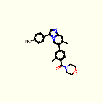 Cc1cc(-c2cn3c(-c4ccc(C#N)cc4)cnc3cc2C)ccc1C(=O)N1CCOCC1